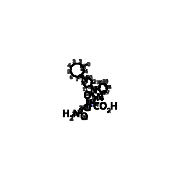 C[C@@H]1CCCCCC[C@@H](N2CCC(n3c(=O)c(/C(=N/OCC(N)=O)C(=O)O)nc4ccccc43)CC2)C1